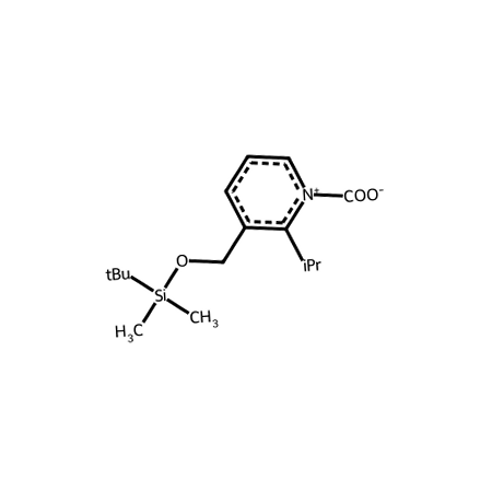 CC(C)c1c(CO[Si](C)(C)C(C)(C)C)ccc[n+]1C(=O)[O-]